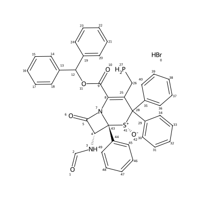 Br.O=CN[C@@H]1C(=O)N2C(C(=O)OC(c3ccccc3)c3ccccc3)=C(CP)C(c3ccccc3)(c3ccccc3)[S@+]([O-])[C@]12c1ccccc1